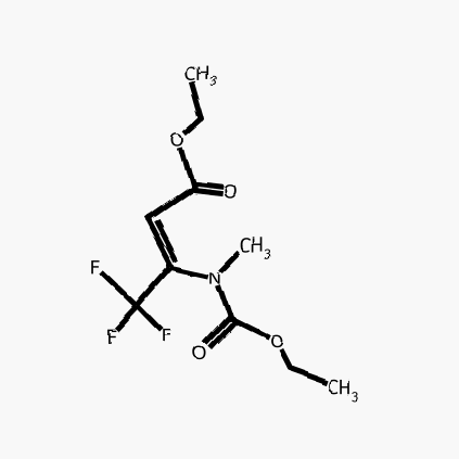 CCOC(=O)C=C(N(C)C(=O)OCC)C(F)(F)F